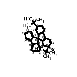 CC(C)(C)c1ccc2c(c1)C1(C3=C2C=CC(Br)(C(C)(C)C)C3)c2ccccc2-c2ccccc21